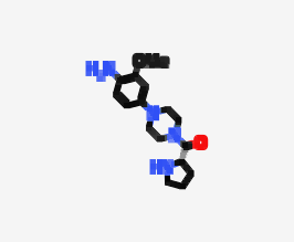 COc1cc(N2CCN(C(=O)[C@@H]3CCCN3)CC2)ccc1N